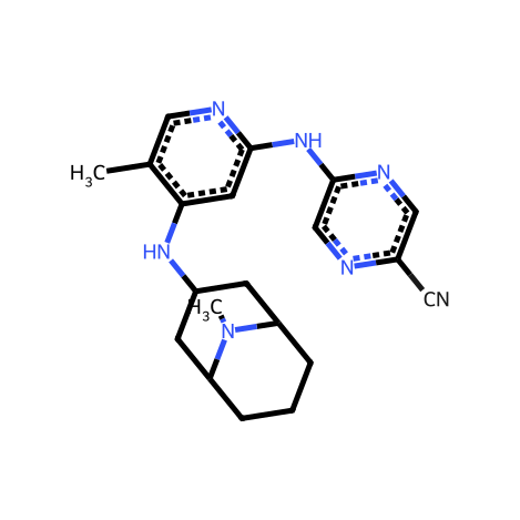 Cc1cnc(Nc2cnc(C#N)cn2)cc1NC1CC2CCCC(C1)N2C